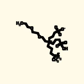 CCCOCCOCC[N+](CCC[SiH](C)C)(CCCS(=O)(=O)[O-])CCCS(=O)(=O)O